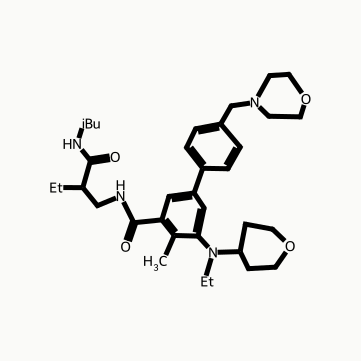 CCC(C)NC(=O)C(CC)CNC(=O)c1cc(-c2ccc(CN3CCOCC3)cc2)cc(N(CC)C2CCOCC2)c1C